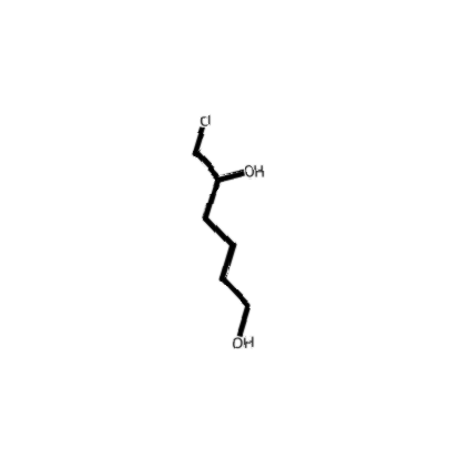 OCCCCC(O)CCl